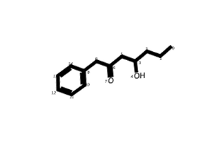 CCCC(O)CC(=O)Cc1ccccc1